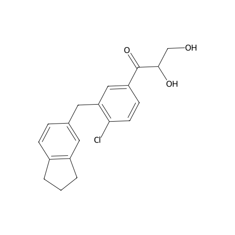 O=C(c1ccc(Cl)c(Cc2ccc3c(c2)CCC3)c1)C(O)CO